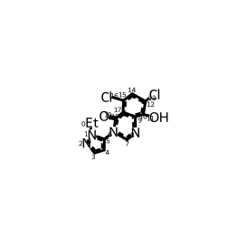 CCn1nccc1-n1cnc2c(O)c(Cl)cc(Cl)c2c1=O